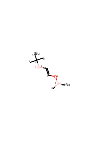 CB(OC=CBC(C)(C)C(C)(C)C)C(C)(C)C